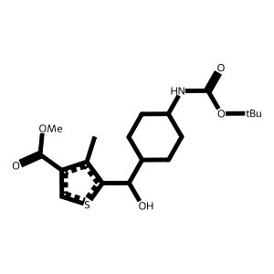 COC(=O)c1csc(C(O)C2CCC(NC(=O)OC(C)(C)C)CC2)c1C